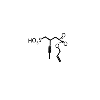 C=CCOS(=O)(=O)CC(C#CC)CS(=O)(=O)O